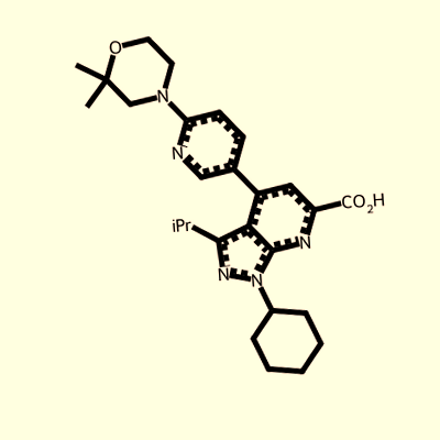 CC(C)c1nn(C2CCCCC2)c2nc(C(=O)O)cc(-c3ccc(N4CCOC(C)(C)C4)nc3)c12